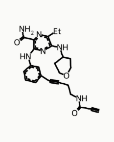 C#CC(=O)NCCC#Cc1cccc(Nc2nc(NC3CCOCC3)c(CC)nc2C(N)=O)c1